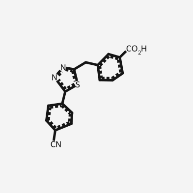 N#Cc1ccc(-c2nnc(Cc3cccc(C(=O)O)c3)s2)cc1